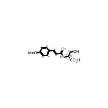 COc1ccc(C=CC(=O)N[C@@H](CO)C(=O)O)cc1